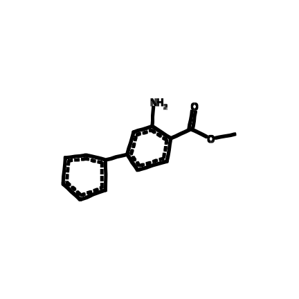 COC(=O)c1ccc(-c2ccccc2)cc1N